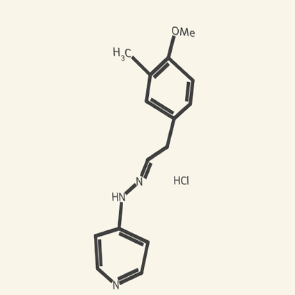 COc1ccc(CC=NNc2ccncc2)cc1C.Cl